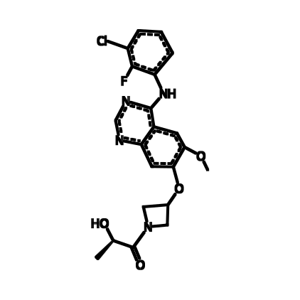 COc1cc2c(Nc3cccc(Cl)c3F)ncnc2cc1OC1CN(C(=O)[C@@H](C)O)C1